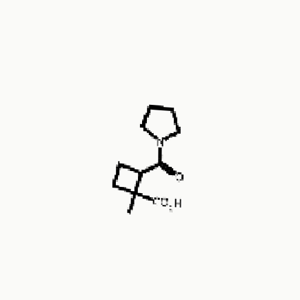 CC1(C(=O)O)CCC1C(=O)N1CCCC1